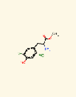 COC(=O)C(N)Cc1ccc(O)c(Cl)c1.Cl